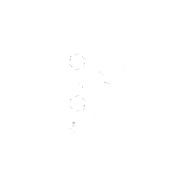 CC(C)N1C[C@@H](N(Cc2cc(F)ccc2Cl)c2ccc(C#N)c(Cl)c2)CC1=O